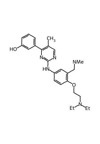 CCN(CC)CCOc1ccc(Nc2ncc(C)c(-c3cccc(O)c3)n2)cc1CNC